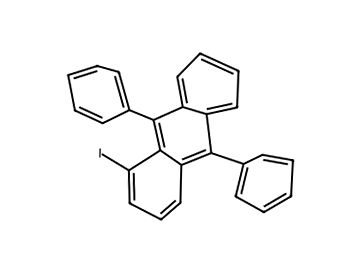 Ic1cccc2c(-c3ccccc3)c3ccccc3c(-c3ccccc3)c12